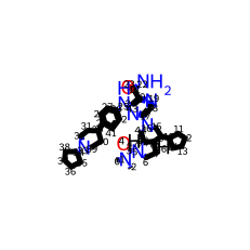 CN(C)C(=O)N1CC[C@@H]2C(C3CCCC3)CN(c3cnc(C(N)=O)c(Nc4ccc(C5CCN(C6CCCC6)CC5)cc4)n3)C[C@@H]21